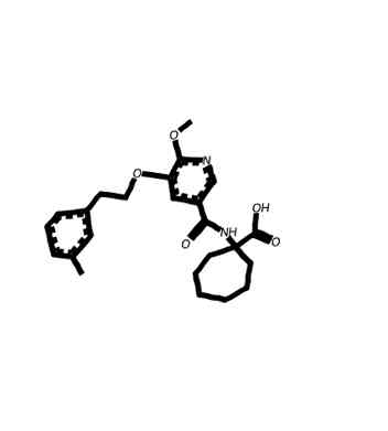 COc1ncc(C(=O)NC2(C(=O)O)CCCCCC2)cc1OCCc1cccc(C)c1